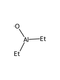 C[CH2][Al]([O])[CH2]C